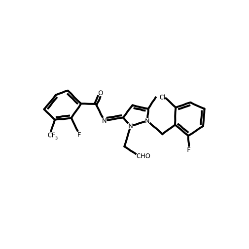 Cc1c/c(=N\C(=O)c2cccc(C(F)(F)F)c2F)n(CC=O)n1Cc1c(F)cccc1Cl